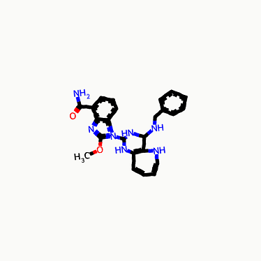 COc1nc2c(C(N)=O)cccc2n1C1NC2=C(NC=CC=C2)C(NCc2ccccc2)N1